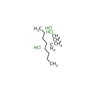 C.C.C.C.CCCCCCCC.Cl.Cl.Cl